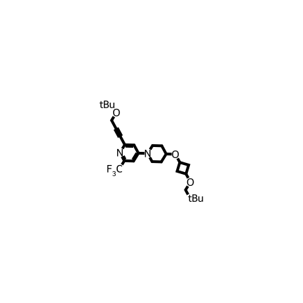 CC(C)(C)COC1CC(OC2CCN(c3cc(C#CCOC(C)(C)C)nc(C(F)(F)F)c3)CC2)C1